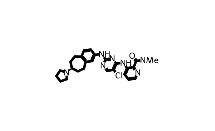 CNC(=O)c1ncccc1Nc1nc(Nc2ccc3c(c2)CC[C@@H](N2CCCC2)CC3)ncc1Cl